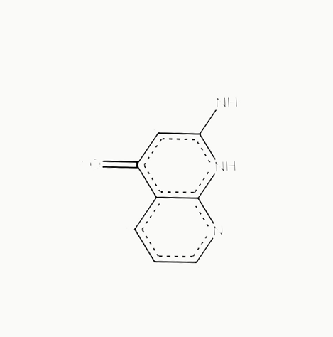 [NH]c1cc(=O)c2cccnc2[nH]1